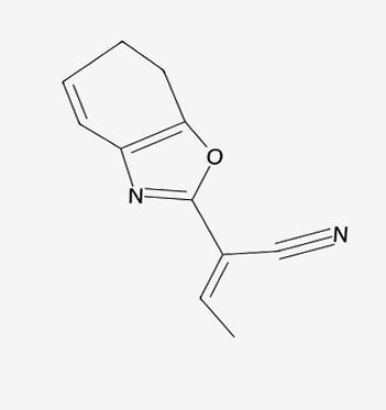 C/C=C(\C#N)c1nc2c(o1)CCC=C2